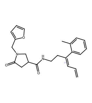 C=C/C=C(/CCNC(=O)C1CC(=O)N(Cc2ccco2)C1)c1ccccc1C